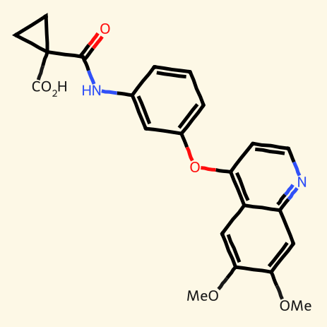 COc1cc2nccc(Oc3cccc(NC(=O)C4(C(=O)O)CC4)c3)c2cc1OC